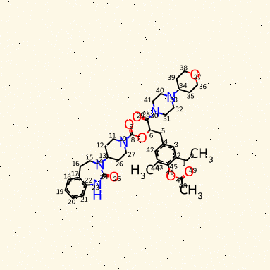 CCc1cc(C[C@@H](OC(=O)N2CCC(N3CCc4ccccc4NC3=O)CC2)C(=O)N2CCN(C3CCOCC3)CC2)cc(C)c1OC(C)=O